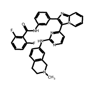 CN1CCc2ccc(Nc3nccc(-c4c(-c5cccc(NC(=O)c6c(F)cccc6F)c5)nc5ccccn45)n3)cc2C1